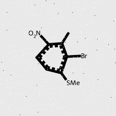 CSc1ccc([N+](=O)[O-])c(C)c1Br